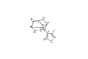 [CH]1C=CC(C2C3CC4CC(C3)CC2C4)=C1